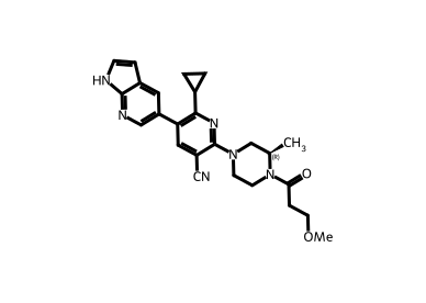 COCCC(=O)N1CCN(c2nc(C3CC3)c(-c3cnc4[nH]ccc4c3)cc2C#N)C[C@H]1C